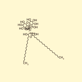 CCCCCCCCCCCCCCCCCCCCC(O)C(=O)N[C@@H](COP(=O)(O)O[C@H]1C(O)C(O)C(O)[C@@H](O)C1O[C@H]1O[C@H](CO)[C@@H](O)C(O)C1O)[C@H](O)CCCCCCCCCCCCCCCCC